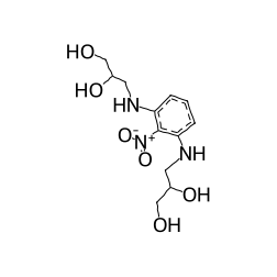 O=[N+]([O-])c1c(NCC(O)CO)cccc1NCC(O)CO